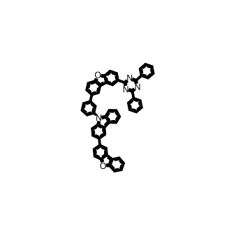 c1ccc(-c2nc(-c3ccccc3)nc(-c3ccc4oc5ccc(-c6cccc(-n7c8ccccc8c8cc(-c9ccc%10oc%11ccccc%11c%10c9)ccc87)c6)cc5c4c3)n2)cc1